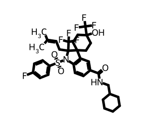 CC(C)=CCC1(C(F)(F)F)N(S(=O)(=O)c2ccc(F)cc2)c2ccc(C(=O)NCC3CCCCC3)cc2C12CCC(O)(C(F)(F)F)CC2